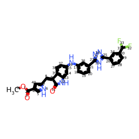 COC(=O)c1c[nH]c(/C=C2\C(=O)Nc3cc(Nc4cccc(-c5nnc(-c6cccc(C(F)F)c6)[nH]5)c4)ccc32)c1